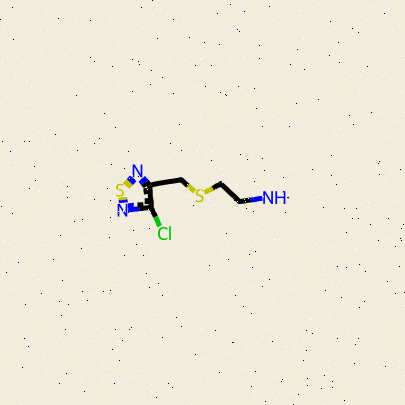 [NH]CCSCc1nsnc1Cl